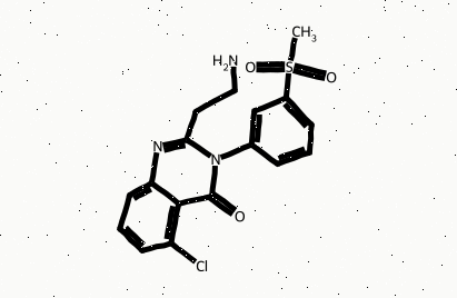 CS(=O)(=O)c1cccc(-n2c(CCN)nc3cccc(Cl)c3c2=O)c1